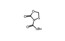 CCCCC(=O)N1SCOC1=O